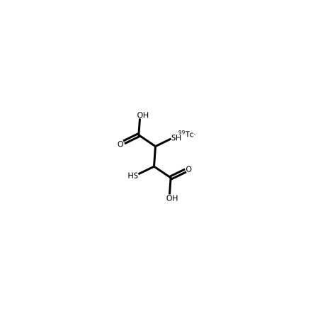 O=C(O)C(S)C(S)C(=O)O.[99Tc]